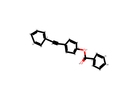 O=C(Oc1ccc(C#Cc2ccccc2)cc1)c1ccccc1